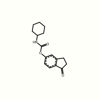 O=C(NC1CCCCC1)Oc1ccc2c(c1)CCC2=O